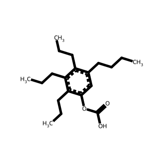 CCCCc1cc(OC(=O)O)c(CCC)c(CCC)c1CCC